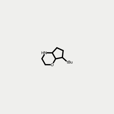 CC(C)(C)C1CCC2NCCOC21